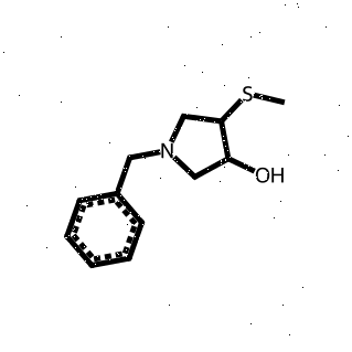 CSC1CN(Cc2ccccc2)CC1O